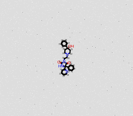 O=C1NC(c2ccccc2)(c2ccccn2)C(=O)N1CCN1CCC(O)(c2ccccc2)CC1